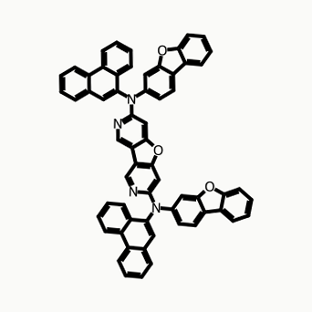 c1ccc2c(c1)cc(N(c1ccc3c(c1)oc1ccccc13)c1cc3oc4cc(N(c5ccc6c(c5)oc5ccccc56)c5cc6ccccc6c6ccccc56)ncc4c3cn1)c1ccccc12